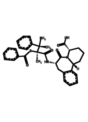 C[C@](N)(c1ccccc1)[C@](C)(SC(=O)c1ccccc1)C(=O)N[C@H]1Cc2ccccc2[C@H]2CCC[C@@H](C(=O)O)N2C1=O